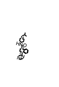 CC(C)CN1CCC(NC(=O)N2CCN(c3cnccn3)c3ccccc32)CC1